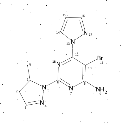 CC1CC=NN1c1nc(N)c(Br)c(-n2cccn2)n1